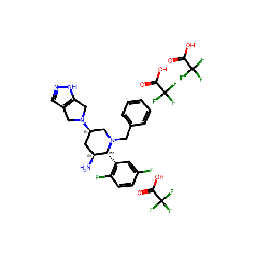 N[C@H]1C[C@@H](N2Cc3cn[nH]c3C2)CN(Cc2ccccc2)[C@@H]1c1cc(F)ccc1F.O=C(O)C(F)(F)F.O=C(O)C(F)(F)F.O=C(O)C(F)(F)F